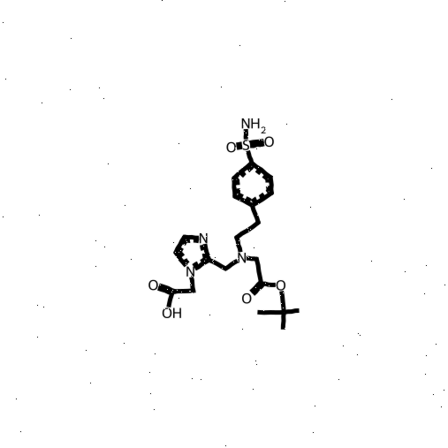 CC(C)(C)OC(=O)CN(CCc1ccc(S(N)(=O)=O)cc1)Cc1nccn1CC(=O)O